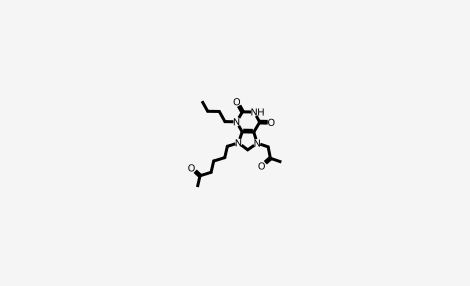 CCCCn1c2c(c(=O)[nH]c1=O)N(CC(C)=O)CN2CCCCC(C)=O